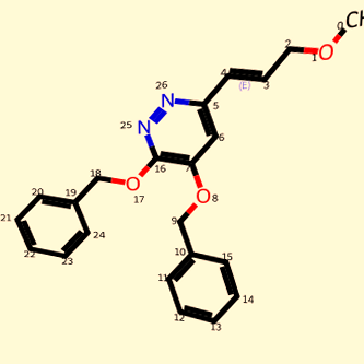 COC/C=C/c1cc(OCc2ccccc2)c(OCc2ccccc2)nn1